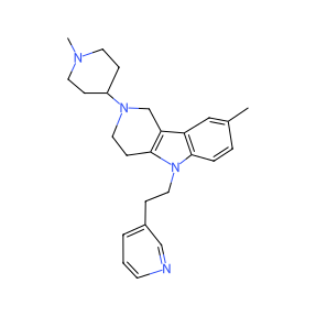 Cc1ccc2c(c1)c1c(n2CCc2cccnc2)CCN(C2CCN(C)CC2)C1